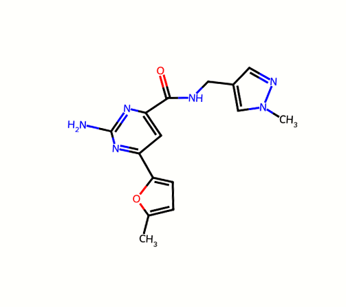 Cc1ccc(-c2cc(C(=O)NCc3cnn(C)c3)nc(N)n2)o1